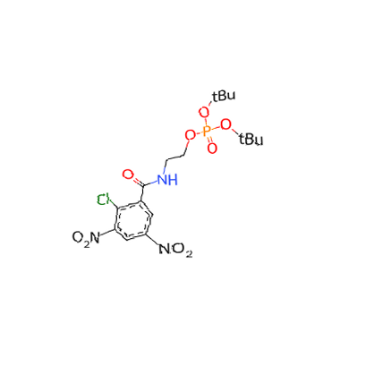 CC(C)(C)OP(=O)(OCCNC(=O)c1cc([N+](=O)[O-])cc([N+](=O)[O-])c1Cl)OC(C)(C)C